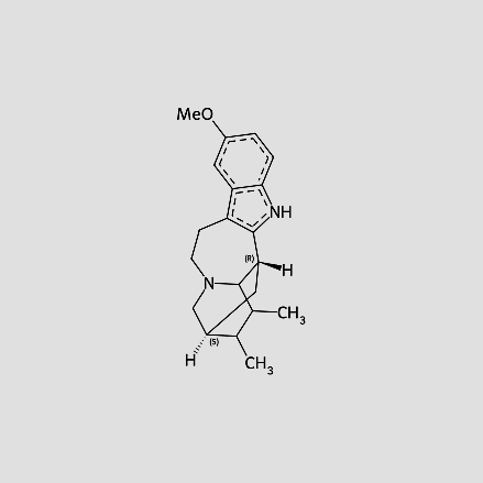 COc1ccc2[nH]c3c(c2c1)CCN1C[C@H]2C[C@@H]3C1C(C)C2C